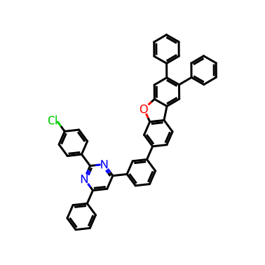 Clc1ccc(-c2nc(-c3ccccc3)cc(-c3cccc(-c4ccc5c(c4)oc4cc(-c6ccccc6)c(-c6ccccc6)cc45)c3)n2)cc1